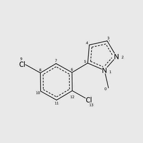 Cn1n[c]cc1-c1cc(Cl)ccc1Cl